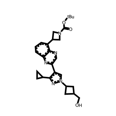 CC(C)(C)OC(=O)N1CC(c2cccc3nc(-c4cn(C5CC(CO)C5)nc4C4CC4)cnc23)C1